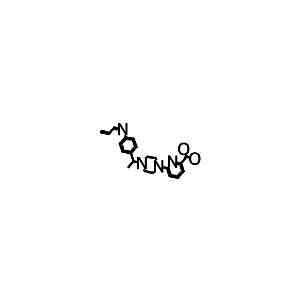 C=C/C=N\c1ccc(C(C)N2CCN(c3cccc(C(=O)OC)n3)CC2)cc1